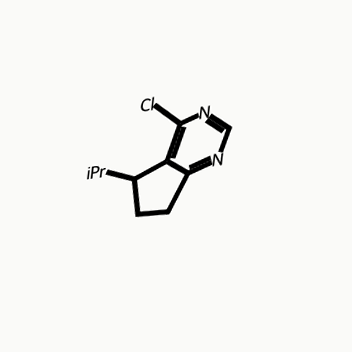 CC(C)C1CCc2ncnc(Cl)c21